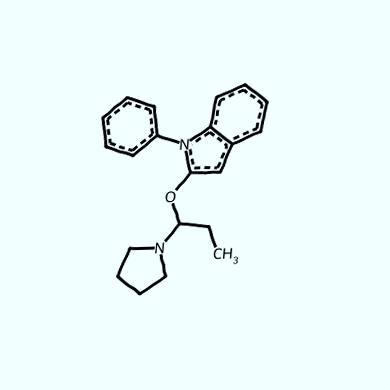 CCC(Oc1cc2ccccc2n1-c1ccccc1)N1CCCC1